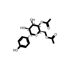 CC(=O)OC[C@H]1O[C@H](c2ccc(O)cc2)[C@@H](O)[C@@H](O)[C@H]1OC(C)=O